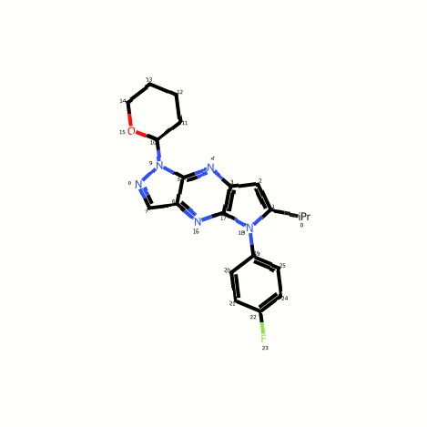 CC(C)c1cc2nc3c(cnn3C3CCCCO3)nc2n1-c1ccc(F)cc1